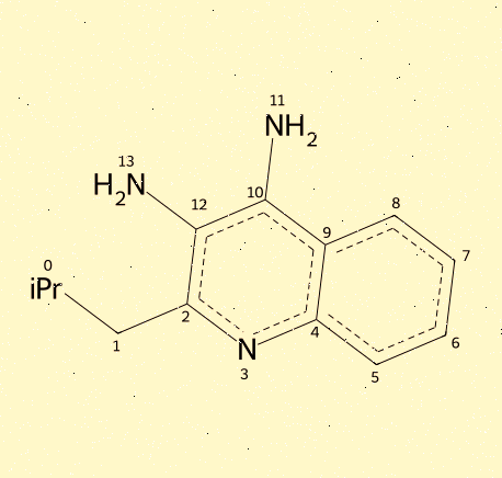 CC(C)Cc1nc2ccccc2c(N)c1N